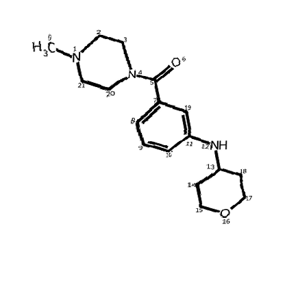 CN1CCN(C(=O)c2cc[c]c(NC3CCOCC3)c2)CC1